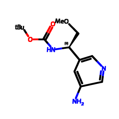 COC[C@H](NC(=O)OC(C)(C)C)c1cncc(N)c1